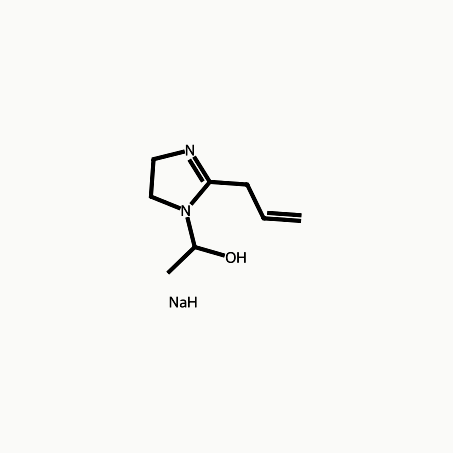 C=CCC1=NCCN1C(C)O.[NaH]